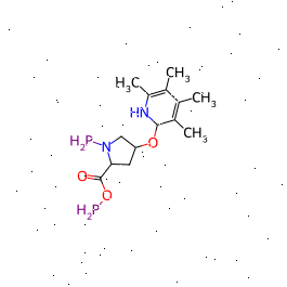 CC1=C(C)C(C)=C(C)C(OC2CC(C(=O)OP)N(P)C2)N1